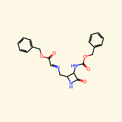 O=C(C=NCC1NC(=O)C1NC(=O)OCc1ccccc1)OCc1ccccc1